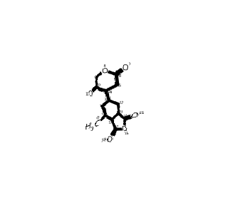 CC1=CC(C2CC(=O)OCC2=O)CC2C(=O)OC(=O)C12